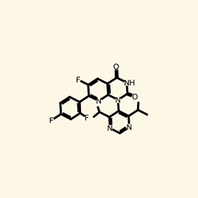 CC(C)c1ncnc(C(C)C)c1-n1c(=O)[nH]c(=O)c2cc(F)c(-c3ccc(F)cc3F)nc21